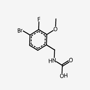 COc1c(CNC(=O)O)ccc(Br)c1F